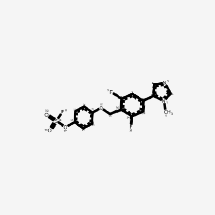 Cn1cncc1-c1cc(F)c(COc2ccc(OS(=O)(=O)F)cc2)c(F)c1